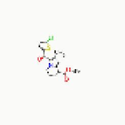 Cc1cc2n(c1C(=O)c1ccc(Cl)s1)CCCC2C(=O)OC(C)C